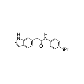 CC(C)c1ccc(NC(=O)Cc2ccc3cc[nH]c3c2)cc1